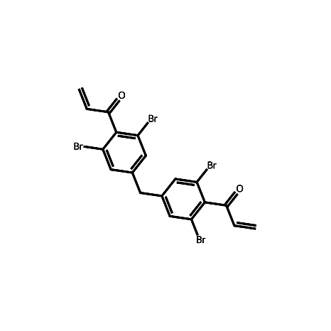 C=CC(=O)c1c(Br)cc(Cc2cc(Br)c(C(=O)C=C)c(Br)c2)cc1Br